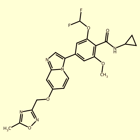 COc1cc(-c2cnc3cc(OCc4noc(C)n4)ccn23)cc(OC(F)F)c1C(=O)NC1CC1